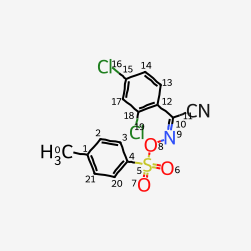 Cc1ccc(S(=O)(=O)ON=C(C#N)c2ccc(Cl)cc2Cl)cc1